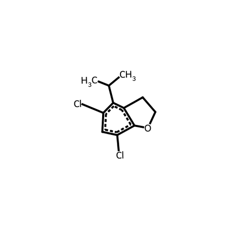 CC(C)c1c(Cl)cc(Cl)c2c1CCO2